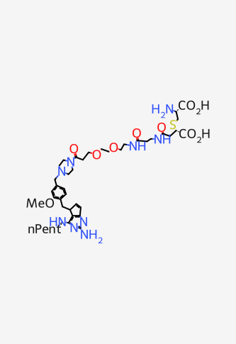 CCCCCNc1nc(N)nc2c1C(Cc1ccc(CN3CCN(C(=O)CCOCCOCCNC(=O)CCNC(=O)C[C@H](SC[C@H](N)C(=O)O)C(=O)O)CC3)cc1OC)C=C2